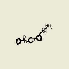 NCOBCc1cccc(N2CCC(OC(=O)c3ccccc3)CC2)c1